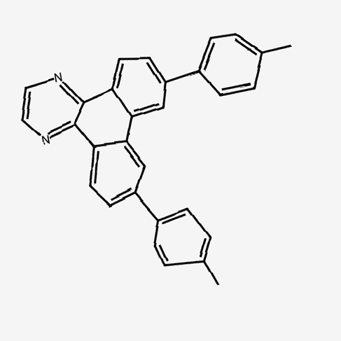 Cc1ccc(-c2ccc3c(c2)c2cc(-c4ccc(C)cc4)ccc2c2nccnc32)cc1